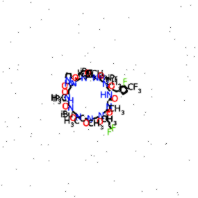 CC[C@H](C)[C@@H]1NC(=O)[C@H](CC(C)C)N(C)C(=O)C[C@@H](C(=O)N2CCCC2)NC(=O)[C@H](CC(C)C)N(C)C(=O)C(C)(C)NC(=O)[C@H](CC(C)C)N(C)C(=O)[C@H](CCc2ccc(C(F)(F)F)c(F)c2)NC(=O)CN(C)C(=O)[C@H](CCCCC(F)F)N(C)C(=O)CN(C)C(=O)CN(C)C1=O